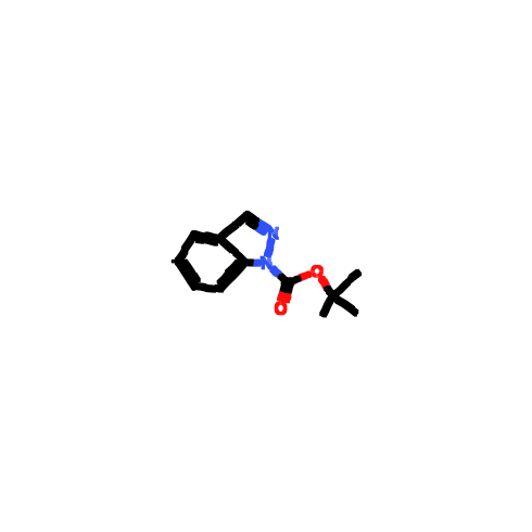 CC(C)(C)OC(=O)n1ncc2c[c]ccc21